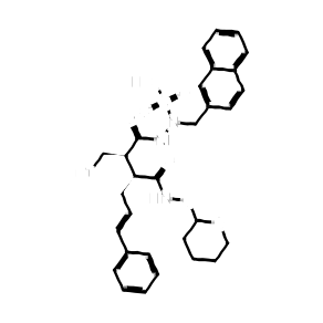 CC(C)C[C@@H](C(=O)NN(Cc1ccc2ccccc2c1)S(C)(=O)=O)[C@H](CC=Cc1ccccc1)C(=O)NOC1CCCCO1